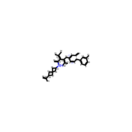 C=C/C=C(\C=C/Cc1cccc(C)c1)CC(=C(C)C)C(C(=C)NC1CC2(C1)CC(C(=C)C)C2)=C(C)C